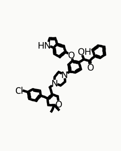 CC1(C)CC(c2ccc(Cl)cc2)=C(CN2CCN(c3ccc(C(O)C(=O)c4ccccc4)c(Oc4ccc5[nH]ccc5c4)c3)CC2)CO1